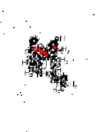 CC(C)C[C@H](NC(=O)CNC(=O)[C@H](Cc1ccccc1)NC(=O)CNC(=O)[C@H](Cc1ccc(O)cc1)NC(=O)[C@H](CC(C)C)NC(=O)[C@H](CCCN=C(N)N)NC(=O)[C@H](CCC(N)=O)NC(=O)[C@H](C)NC(=O)CNC(=O)[C@H](CO)NC(=O)[C@@H]1CCCN1C(=O)[C@H](C)N)C(N)=O